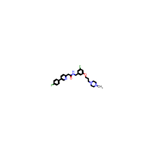 CN1CCN(CCCOc2cc(F)cc(CNC(=O)Cc3ccc(-c4ccc(F)cc4)cn3)c2)CC1